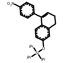 CC(C)[Si](Oc1ccc2c(c1)CCC=C2c1ccc([N+](=O)[O-])cc1)(C(C)C)C(C)C